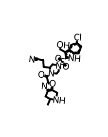 CC1Cc2nc(C(=O)N3CCN(S(=O)(=O)c4[nH]c5ccc(Cl)cc5c4CO)CC3CCC#N)oc2CN1